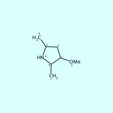 COC1CC(C)NC1C